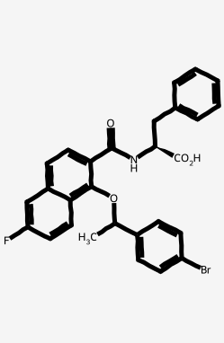 CC(Oc1c(C(=O)N[C@@H](Cc2ccccc2)C(=O)O)ccc2cc(F)ccc12)c1ccc(Br)cc1